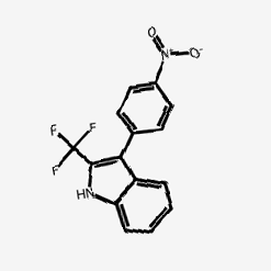 O=[N+]([O-])c1ccc(-c2c(C(F)(F)F)[nH]c3ccccc23)cc1